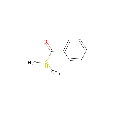 C[SH](C)C(=O)c1ccccc1